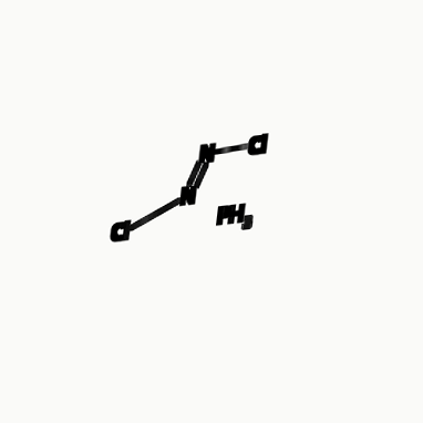 ClN=NCl.P